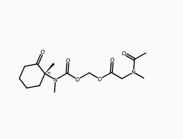 CC(=O)N(C)CC(=O)OCOC(=O)N(C)[C@]1(C)CCCCC1=O